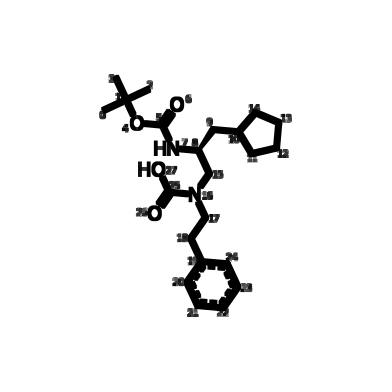 CC(C)(C)OC(=O)N[C@@H](CC1CCCC1)CN(CCc1ccccc1)C(=O)O